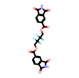 O=C(OCC(F)(F)C(F)(F)COC(=O)c1ccc2c(c1)C(=O)NC2=O)c1ccc2c(c1)C(=O)NC2=O